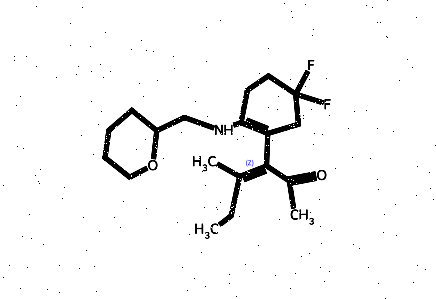 CC/C(C)=C(\C(C)=O)C1=C(NCC2CCCCO2)CCC(F)(F)C1